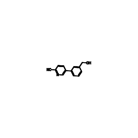 N#Cc1ccc(-c2cccc(CO)c2)cn1